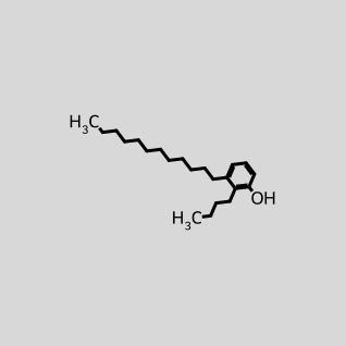 CCCCCCCCCCCCc1cccc(O)c1CCCC